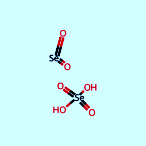 O=[Se](=O)(O)O.O=[Se]=O